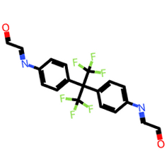 O=CC=Nc1ccc(C(c2ccc(N=CC=O)cc2)(C(F)(F)F)C(F)(F)F)cc1